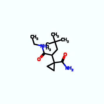 CCNC(=O)C(CC(C)(C)C)C1(C(N)=O)CC1